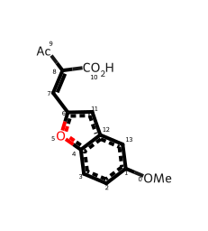 COc1ccc2oc(C=C(C(C)=O)C(=O)O)cc2c1